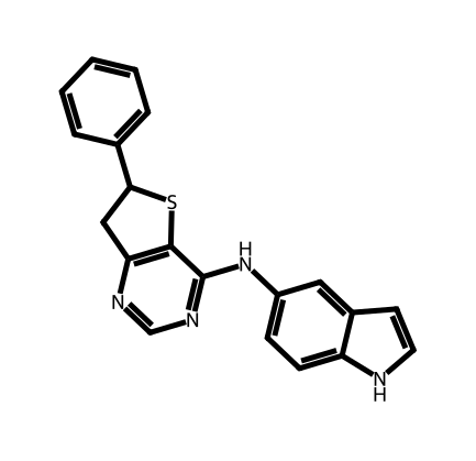 c1ccc(C2Cc3ncnc(Nc4ccc5[nH]ccc5c4)c3S2)cc1